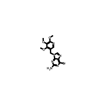 COc1ncc(Cn2cnc3c(Br)nc(N)nc32)c(OC)c1OC